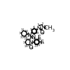 CN1CCN(c2ccc3c(c2)nc([C@@H]2CCCC(=O)N2c2ccc(F)c(F)c2)n3C2CCCCC2)C1=O